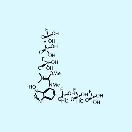 CNC(OC)=[N+](C)C.O=P(O)(O)F.O=P(O)(O)F.O=P(O)(O)F.O=P(O)(O)F.O=P(O)(O)F.O=P(O)(O)F.On1nnc2ccccc21